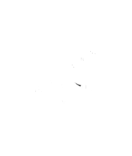 C[C@H](N=[N+]=[N-])C(=O)OC(C)(C)C